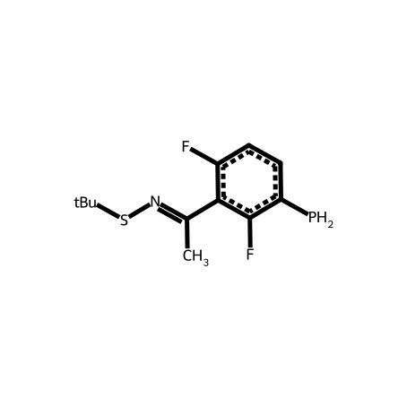 C/C(=N\SC(C)(C)C)c1c(F)ccc(P)c1F